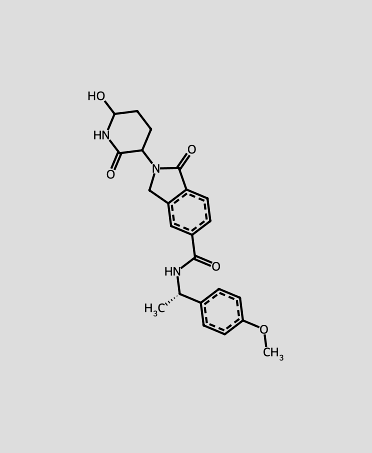 COc1ccc([C@H](C)NC(=O)c2ccc3c(c2)CN(C2CCC(O)NC2=O)C3=O)cc1